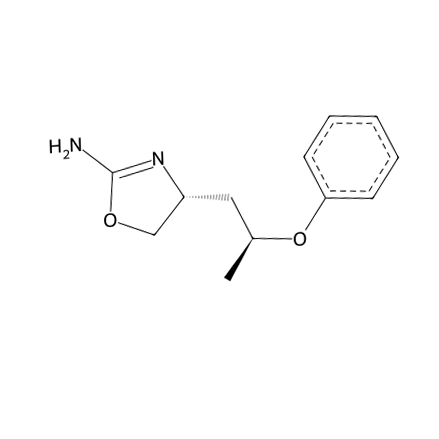 C[C@@H](C[C@@H]1COC(N)=N1)Oc1ccccc1